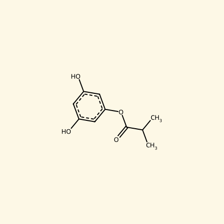 CC(C)C(=O)Oc1cc(O)cc(O)c1